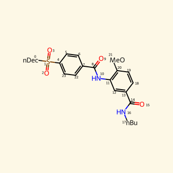 CCCCCCCCCCS(=O)(=O)c1ccc(C(=O)Nc2cc(C(=O)NCCCC)ccc2OC)cc1